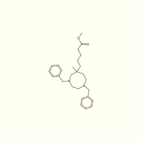 COC(=O)CCCCC1(C)CCN(Cc2ccccc2)CCN(Cc2ccccc2)C1